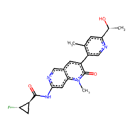 Cc1cc([C@@H](C)O)ncc1-c1cc2cnc(NC(=O)[C@H]3C[C@@H]3F)cc2n(C)c1=O